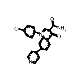 NC(=O)c1cn(-c2ccc(Cl)cc2)c2cc(-c3ccncc3)ccc2c1=O